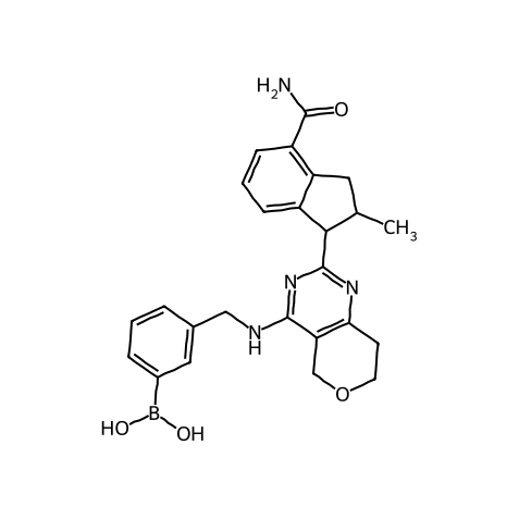 CC1Cc2c(C(N)=O)cccc2C1c1nc2c(c(NCc3cccc(B(O)O)c3)n1)COCC2